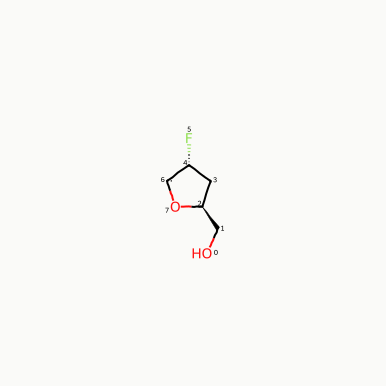 OC[C@@H]1C[C@@H](F)[CH]O1